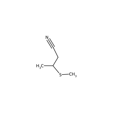 CSC(C)CC#N